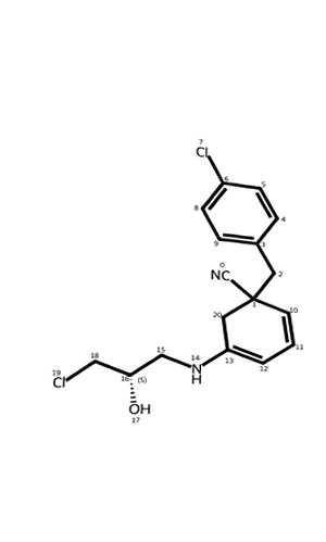 N#CC1(Cc2ccc(Cl)cc2)C=CC=C(NC[C@H](O)CCl)C1